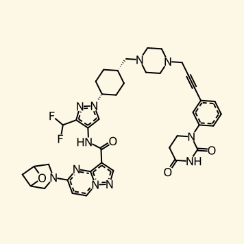 O=C1CCN(c2cccc(C#CCN3CCN(C[C@H]4CC[C@@H](n5cc(NC(=O)c6cnn7ccc(N8CC9CC(C8)O9)nc67)c(C(F)F)n5)CC4)CC3)c2)C(=O)N1